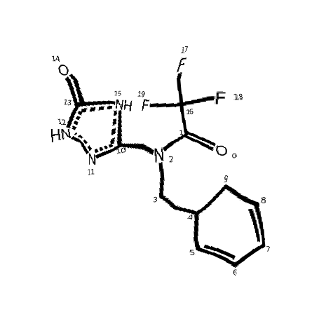 O=C(N(CC1C=CC=CC1)c1n[nH]c(=O)[nH]1)C(F)(F)F